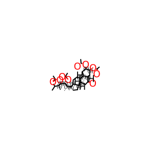 CC(=O)O[C@H]([C@@H](OC(C)=O)[C@@H](C)[C@H]1CC[C@H]2[C@@H]3CC(=O)[C@H]4C[C@H](OC(C)=O)[C@H](OC(C)=O)C[C@]4(C)[C@H]3CC[C@]12C)[C@@H](C)C(C)C